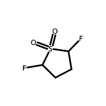 O=S1(=O)C(F)CCC1F